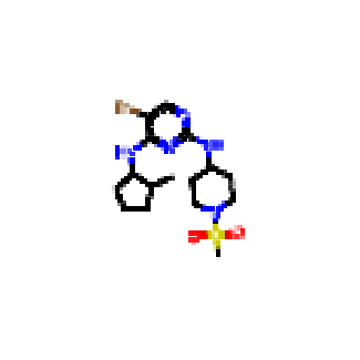 CC1CCCC1Nc1nc(NC2CCN(S(C)(=O)=O)CC2)ncc1Br